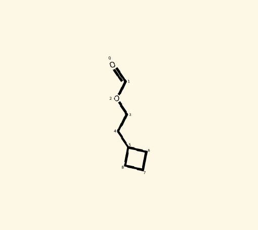 O=[C]OCCC1CCC1